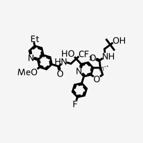 CCc1cnc2c(OC)cc(C(=O)NCC(O)(c3cc4c(c(-c5ccc(F)cc5)n3)OC[C@]4(C)C(=O)NCC(C)(C)O)C(F)(F)F)cc2c1